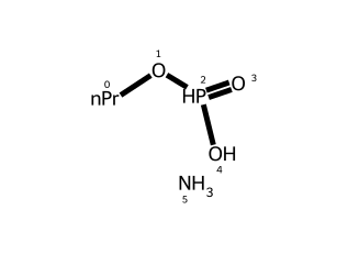 CCCO[PH](=O)O.N